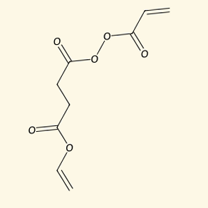 C=COC(=O)CCC(=O)OOC(=O)C=C